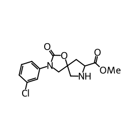 COC(=O)C1CC2(CN1)CN(c1cccc(Cl)c1)C(=O)O2